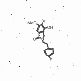 COc1cc2c(c(O)c1Br)CN(CCc1ccc(F)cc1)C2=O